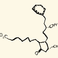 O=C(O)CCCCCCC1C(=O)C[C@@H](O)[C@@H]1/C=C/[C@@H](O)CCc1ccccc1